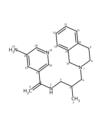 C=C(NCC(C)CN1CCc2ccccc2C1)c1cncc(N)c1